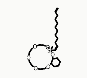 C=CCCCCCCCC/C=C\[Si]1(C)OCCOCCOCCOCCOC2CCCCC2O1